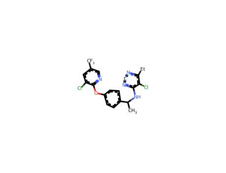 CCc1ncnc(NC(C)c2ccc(Oc3ncc(C(F)(F)F)cc3Cl)cc2)c1Cl